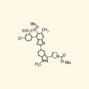 CCOC(=O)[C@@H](OC(C)(C)C)c1c(C)cc2nc(-c3ccc4c(c3)c(C3=CCN(C(=O)OC(C)(C)C)C3)nn4C)sc2c1-c1ccc(Cl)cc1